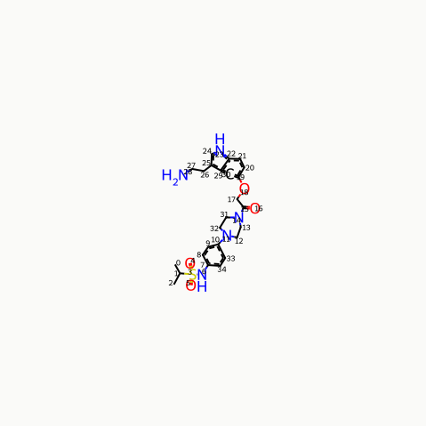 CC(C)S(=O)(=O)Nc1ccc(N2CCN(C(=O)COc3ccc4[nH]cc(CCN)c4c3)CC2)cc1